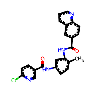 Cc1ccc(NC(=O)c2ccc(Cl)nc2)cc1NC(=O)c1ccc2ncccc2c1